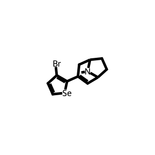 CN1C2C=C(c3[se]ccc3Br)CC1CC2